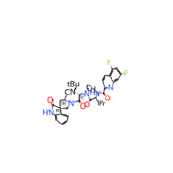 CC(C)C(NC(=O)c1ccc2c(F)cc(F)cc2n1)C(=O)N(C)[C@@H](CC(C)(C)C)C(=O)N1C[C@]2(C[C@H]1C#N)C(=O)Nc1ccccc12